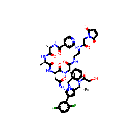 C[C@H](NC(=O)c1ccncc1)C(=O)N[C@H](C)C(=O)N[C@@H](CC(N)=O)C(=O)N[C@@H](CCN(C(=O)CO)[C@@H](c1cc(-c2cc(F)ccc2F)cn1Cc1ccccc1)C(C)(C)C)C(=O)NCCNC(=O)CN1C(=O)C=CC1=O